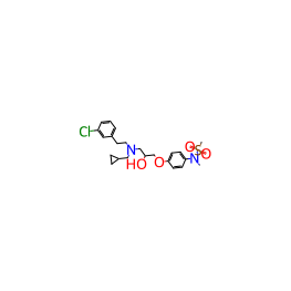 CN(c1ccc(OCC(O)CN(CCc2cccc(Cl)c2)CC2CC2)cc1)S(C)(=O)=O